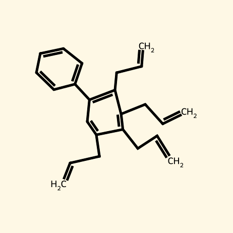 C=CCc1cc(-c2ccccc2)c(CC=C)c(CC=C)c1CC=C